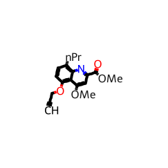 C#CCOc1ccc(CCC)c2nc(C(=O)OC)cc(OC)c12